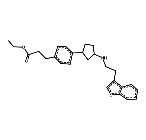 CCOC(=O)CCc1ccc(C2CCC(NCCc3csc4ccccc34)C2)cc1